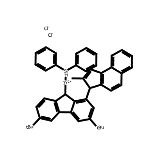 CC1=Cc2c(ccc3ccccc23)C1c1cc(C(C)(C)C)cc2c1[CH]([Zr+2][SiH](c1ccccc1)c1ccccc1)c1ccc(C(C)(C)C)cc1-2.[Cl-].[Cl-]